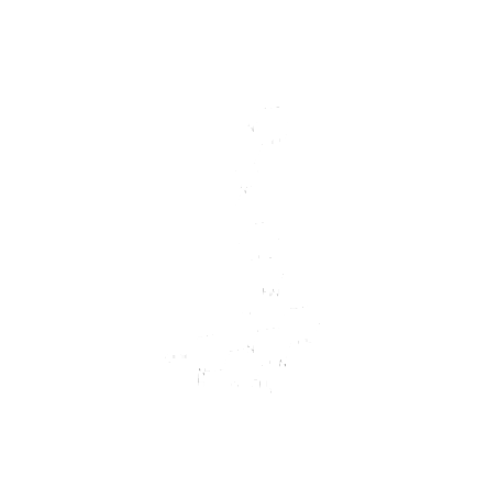 Cc1nc2cccc(NCc3ccc(CN4CC(c5ccccn5)C4)cc3)c2c(=O)n1C1CCC(=O)NC1=O